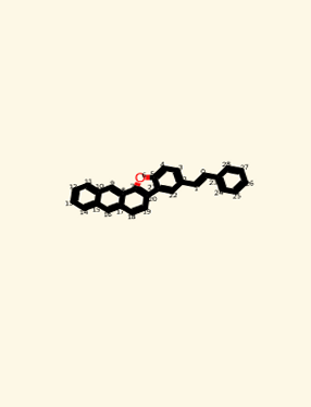 C(=C\c1ccc2oc3c4cc5ccccc5cc4ccc3c2c1)/c1ccccc1